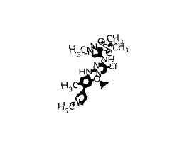 Cc1cc(Nc2ncc(Cl)c(Nc3cn(C)nc3S(=O)(=O)C(C)C)n2)c(OC2CC2)cc1C1CCN(C)C1